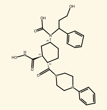 O=C(NO)[C@H]1C[C@H](N(C(=O)O)C(CCO)c2ccccc2)CC[C@@H]1C(=O)N1CCN(c2ccccc2)CC1